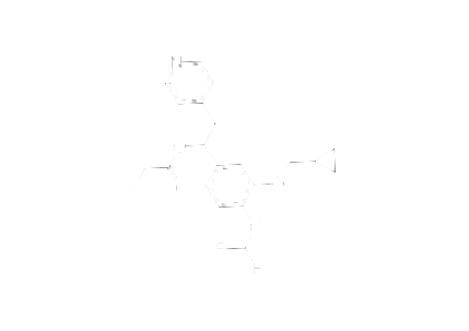 CCC(=O)OC(Cc1ccncc1)c1ccc(OC(F)F)c(OCC2CC2)c1